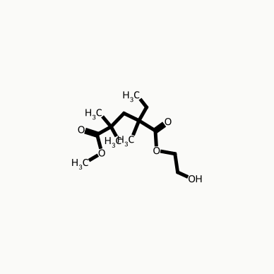 CCC(C)(CC(C)(C)C(=O)OC)C(=O)OCCO